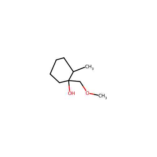 COCC1(O)CCCCC1C